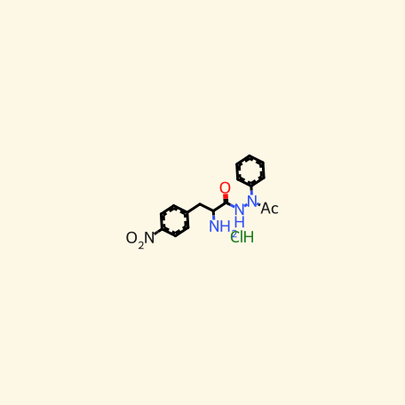 CC(=O)N(NC(=O)C(N)Cc1ccc([N+](=O)[O-])cc1)c1ccccc1.Cl